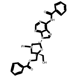 CC(C)N1C[C@H](n2cnc3c(NC(=O)c4ccccc4)ncnc32)O[C@](CO)(COC(=O)c2ccccc2)C1